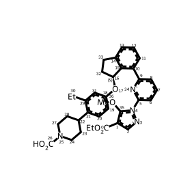 CCOC(=O)c1cnn(-c2cccc(-c3cccc4c3[C@@H](Oc3ccc(C5CCN(C(=O)O)CC5)c(CC)c3)CC4)n2)c1OC